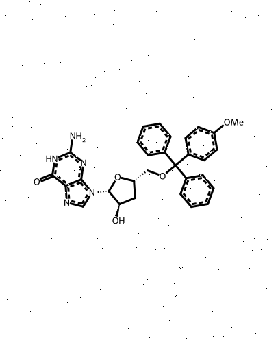 COc1ccc(C(OC[C@@H]2C[C@@H](O)[C@H](n3cnc4c(=O)[nH]c(N)nc43)O2)(c2ccccc2)c2ccccc2)cc1